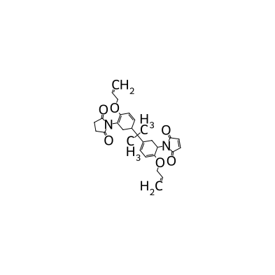 C=CCOC1=CC=C(C(C)(C)C2C=CC(OCC=C)=C(N3C(=O)CCC3=O)C2)CC1N1C(=O)C=CC1=O